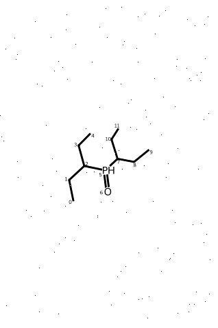 CCC(CC)[PH](=O)C(CC)CC